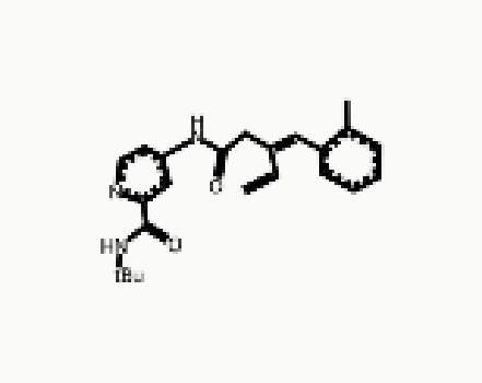 C=C/C(=C\c1ccccc1C)CC(=O)Nc1ccnc(C(=O)NC(C)(C)C)c1